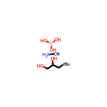 CC(C)(C)CC(O)CO.N#CN.OB(O)O